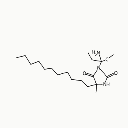 CCCCCCCCCCCC1(C)NC(=O)N(C(N)(CC)CC)C1=O